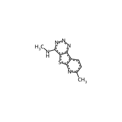 CNc1nnnc2c1sc1nc(C)ccc12